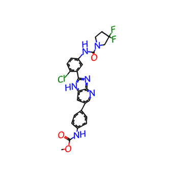 COC(=O)Nc1ccc(-c2cnc3nc(-c4cc(NC(=O)N5CCC(F)(F)C5)ccc4Cl)[nH]c3c2)cc1